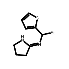 CCC(/N=C1/CCCN1)c1cccs1